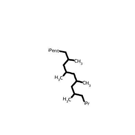 CCCC(C)CC(C)CC(C)CC(C)CC(C)CC(C)C